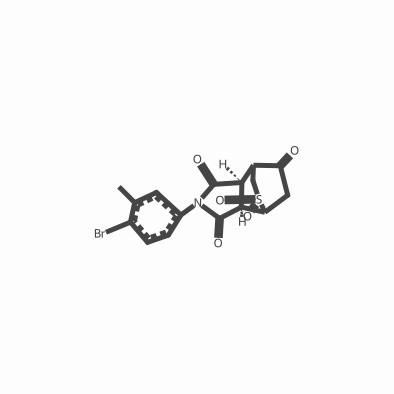 Cc1cc(N2C(=O)[C@@H]3C4CC(=O)C(CS4(=O)=O)[C@@H]3C2=O)ccc1Br